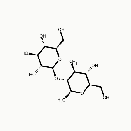 C[C@H]1[C@H](O)[C@@H](CO)O[C@@H](C)[C@@H]1O[C@@H]1O[C@H](CO)[C@@H](O)[C@H](O)[C@H]1O